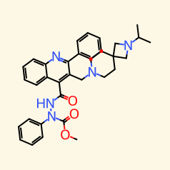 COC(=O)N(NC(=O)c1c(CN2CCC3(CC2)CN(C(C)C)C3)c(-c2ccccc2)nc2ccccc12)c1ccccc1